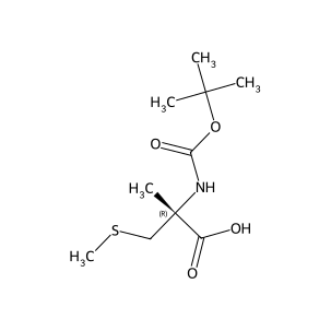 CSC[C@](C)(NC(=O)OC(C)(C)C)C(=O)O